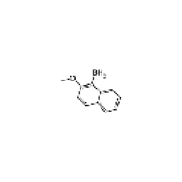 Bc1c(OC)ccc2ccccc12